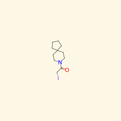 O=C(CI)N1CCC2(CCCC2)CC1